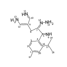 Cc1ccc(C(=N)/C(C/C(C=N)=C/N)=N\N)c(C(C)C)c1